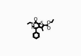 CCOC(=O)c1sc2c(=O)n(CC)nc(-c3ccccc3)c2c1C